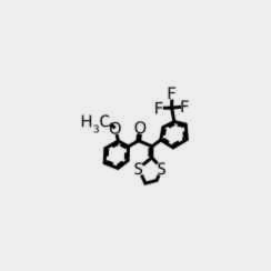 COc1ccccc1C(=O)C(=C1SCCS1)c1cccc(C(F)(F)F)c1